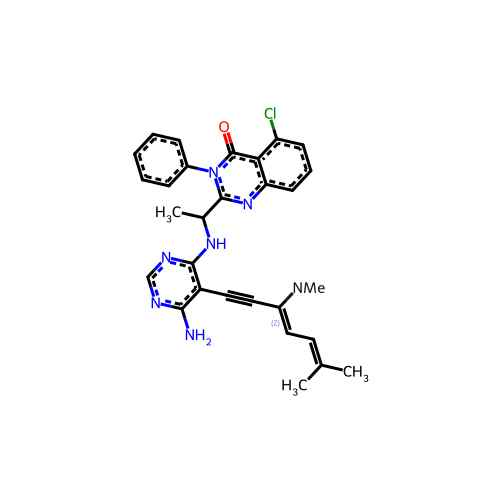 CN/C(C#Cc1c(N)ncnc1NC(C)c1nc2cccc(Cl)c2c(=O)n1-c1ccccc1)=C\C=C(C)C